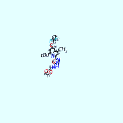 Cc1cc(-c2nnc(NCC3OCCO3)o2)nc2c(C(C)(C)C)cc(OCC(F)(F)C(F)(F)F)cc12